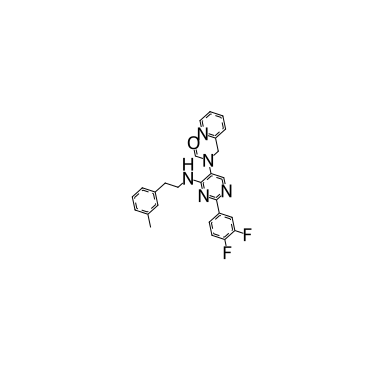 Cc1cccc(CCNc2nc(-c3ccc(F)c(F)c3)ncc2N(C=O)Cc2ccccn2)c1